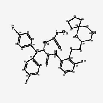 COC(=O)N[C@H](C(=O)Nc1cncc(F)c1CC[C@@H]1CNCC2(CCCC2)O1)C(c1ccc(F)cc1)c1ccc(F)cc1